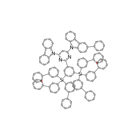 c1ccc(-c2cccc([Si](c3cccc(-c4ccccc4)c3)(c3cccc(-c4ccccc4)c3)c3cc(-c4nc(-n5c6ccccc6c6ccccc65)cc(-n5c6ccccc6c6cc(-c7ccccc7)ccc65)n4)cc([Si](c4cccc(-c5ccccc5)c4)(c4cccc(-c5ccccc5)c4)c4cccc(-c5ccccc5)c4)c3)c2)cc1